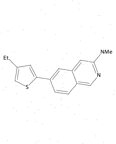 CCc1csc(-c2ccc3cnc(NC)cc3c2)c1